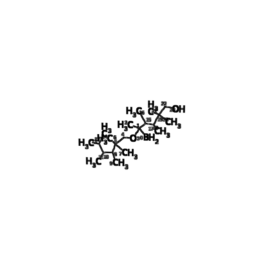 BC(C)(OCC(C)(C)C(C)C(C)C(C)C)C(C)C(C)C(C)(C)CO